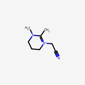 CC1=[N+](CC#N)CCCN1C